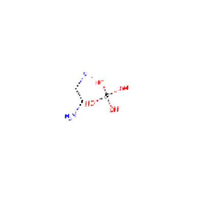 NCCN.O[Si](O)(O)O